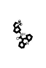 O=C(Nc1ccc2c(c1)S(=O)(=O)C=C2)c1c2ccccc2nc2ccccc12